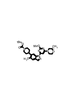 COc1nc(N2CCO[C@@H](C)C2)cc(-n2ncc3cc(C)c(C4CCN(C(=O)OC(C)(C)C)CC4)cc32)n1